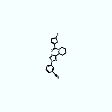 N#Cc1cccc(-n2nnc(C3CCCCN3C(=O)c3ccc(Br)s3)n2)c1